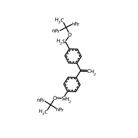 C=C(c1ccc([SiH2]OC(C)(CCC)CCC)cc1)c1ccc([SiH2]OC(C)(CCC)CCC)cc1